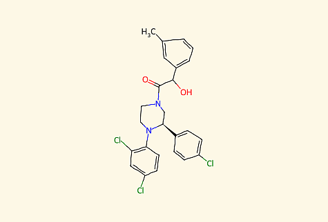 Cc1cccc(C(O)C(=O)N2CCN(c3ccc(Cl)cc3Cl)[C@H](c3ccc(Cl)cc3)C2)c1